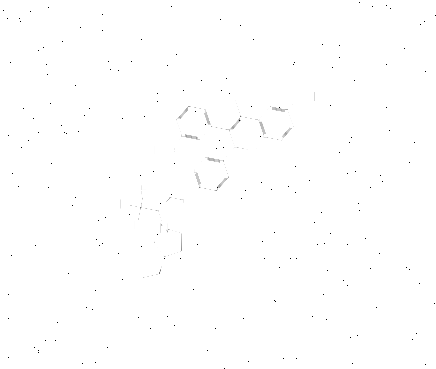 CC[C@@H]1CCN([C@H](COc2ccc(C3Oc4ccc(O)cc4C(C)=C3c3cccc(O)c3)cc2)C(F)(F)F)C1